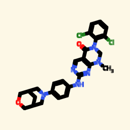 CN1CN(c2c(Cl)cccc2Cl)C(=O)c2cnc(Nc3ccc(N4CC5COCC(C5)C4)cc3)nc21